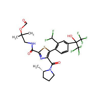 C[C@H]1CCCN1C(=O)c1nc(C(=O)NCC(C)(C)OC=O)sc1-c1ccc(C(O)(C(F)(F)F)C(F)(F)F)cc1C(F)F